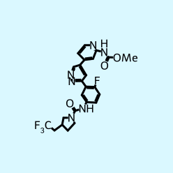 COC(=O)Nc1cc(-c2cnnc(-c3cc(NC(=O)N4CCC(CC(F)(F)F)C4)ccc3F)c2)ccn1